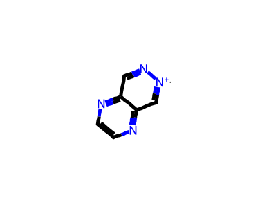 C1=N[N+]=Cc2nccnc21